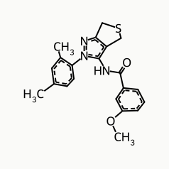 COc1cccc(C(=O)Nc2c3c(nn2-c2ccc(C)cc2C)CSC3)c1